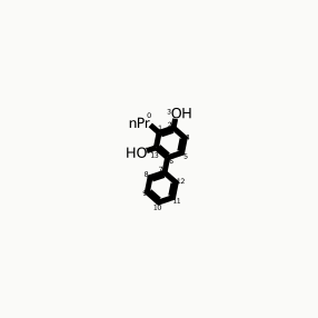 CCCc1c(O)ccc(-c2ccccc2)c1O